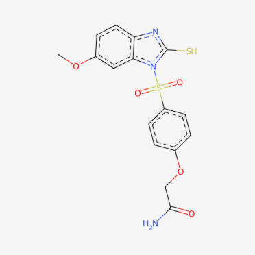 COc1ccc2nc(S)n(S(=O)(=O)c3ccc(OCC(N)=O)cc3)c2c1